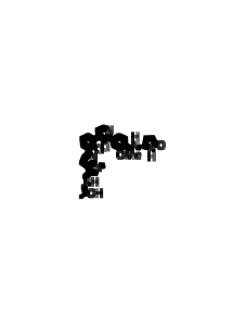 COc1cc(-c2nccc(-c3cccc(-c4ccc5c(CNC[C@H](C)O)cn(C)c5n4)c3Cl)c2Cl)ccc1CNC[C@@H]1CCC(=O)N1